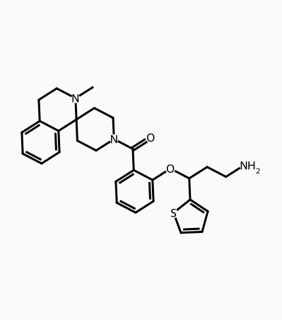 CN1CCc2ccccc2C12CCN(C(=O)c1ccccc1OC(CCN)c1cccs1)CC2